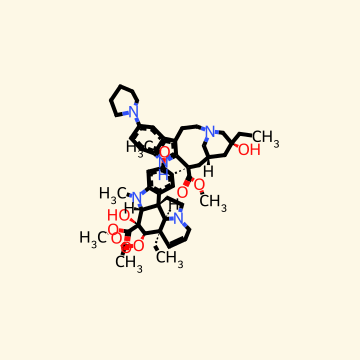 CC[C@]1(O)C[C@H]2CN(CCc3c([nH]c4ccc(N5CCCCC5)cc34)[C@@](C(=O)OC)(c3cc4c(cc3OC)N(C)[C@H]3[C@@](O)(C(=O)OC)[C@H](OC(C)=O)[C@]5(CC)C=CCN6CC[C@]43[C@@H]65)C2)C1